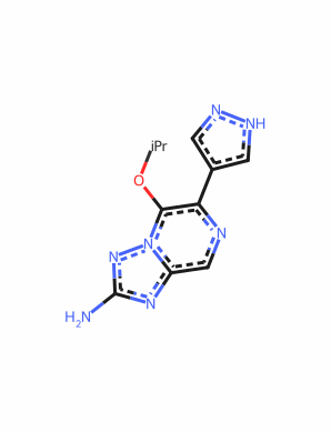 CC(C)Oc1c(-c2cn[nH]c2)ncc2nc(N)nn12